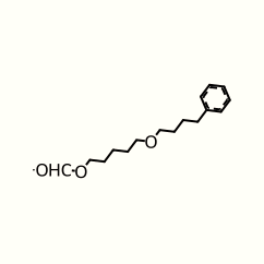 O=[C]OCCCCCOCCCCc1ccccc1